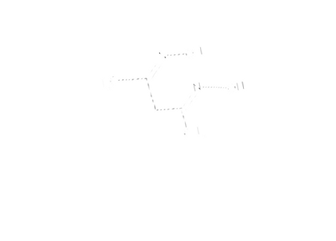 CC(CC(C)=NO)=NO